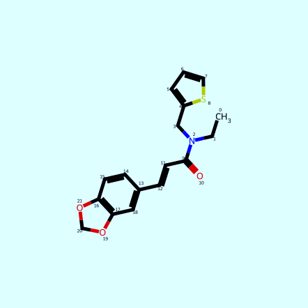 CCN(Cc1cccs1)C(=O)/C=C/c1ccc2c(c1)OCO2